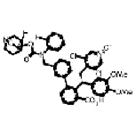 COc1ccc([C@H](Cc2c(Cl)c[n+]([O-])cc2Cl)c2c(C(=O)O)cccc2-c2cccc(CN(C(=O)O[C@H]3CN4CCC3CC4)c3ccccc3F)c2)cc1OC